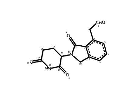 O=CCc1cccc2c1C(=O)N(C1CCC(=O)NC1=O)C2